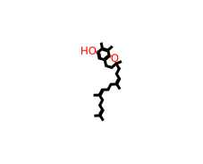 CC(C)=CCCC(C)=CCCC(C)=CCCC1(C)CCc2cc(O)c(C)c(C)c2O1